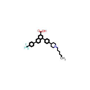 C=CCCCCN1CCC(c2ccc(-c3cc(C(=O)O)cc4cc(-c5ccc(C(F)(F)F)cc5)ccc34)cc2)CC1